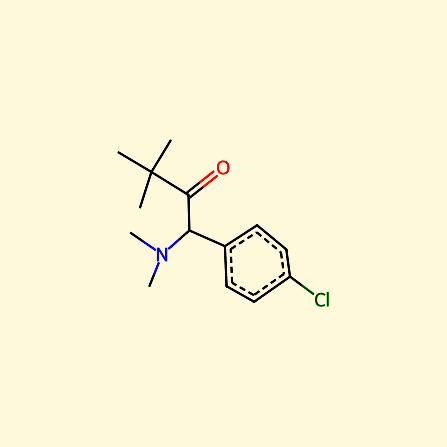 CN(C)C(C(=O)C(C)(C)C)c1ccc(Cl)cc1